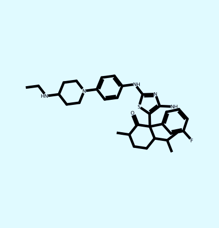 CCNC1CCN(c2ccc(Nc3nc(N)c(C4(c5cccc(F)c5)C(=O)C(C)CCC4C(C)C)s3)cc2)CC1